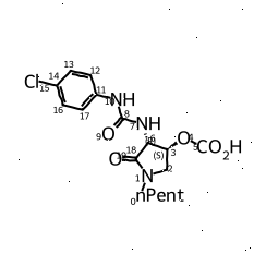 CCCCCN1C[C@H](OC(=O)O)[C@@H](NC(=O)Nc2ccc(Cl)cc2)C1=O